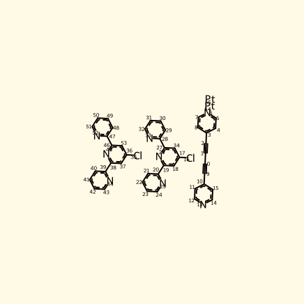 C(C#Cc1ccncc1)#Cc1ccncc1.Clc1cc(-c2ccccn2)nc(-c2ccccn2)c1.Clc1cc(-c2ccccn2)nc(-c2ccccn2)c1.[Pt].[Pt]